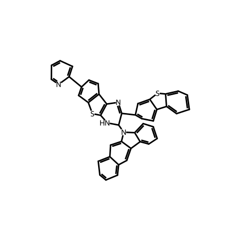 c1ccc(-c2ccc3c4c(sc3c2)NC(n2c3ccccc3c3cc5ccccc5cc32)C(c2ccc3c(c2)sc2ccccc23)=N4)nc1